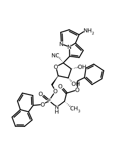 C[C@H](NP(=O)(OC[C@H]1O[C@@](C#N)(c2ccc3c(N)ccnn23)[C@H](O)[C@@H]1O)Oc1cccc2ccccc12)C(=O)OCc1ccccc1